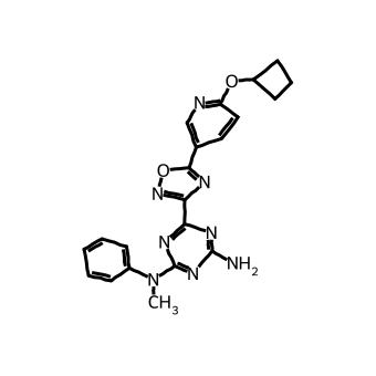 CN(c1ccccc1)c1nc(N)nc(-c2noc(-c3ccc(OC4CCC4)nc3)n2)n1